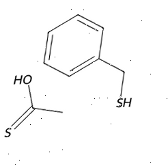 CC(O)=S.SCc1ccccc1